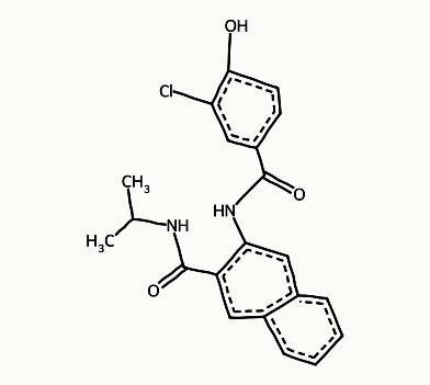 CC(C)NC(=O)c1cc2ccccc2cc1NC(=O)c1ccc(O)c(Cl)c1